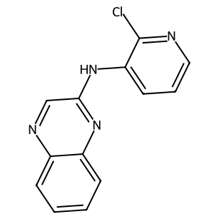 Clc1ncccc1Nc1cnc2ccccc2n1